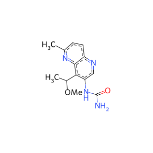 COC(C)c1c(NC(N)=O)cnc2ccc(C)nc12